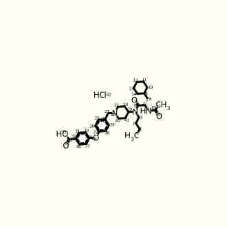 CCCCN(C(=O)[C@H](CC1CCCCC1)NC(C)=O)C1CCN(Cc2ccc(Oc3ccc(C(=O)O)cc3)cc2)CC1.Cl